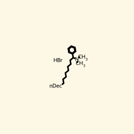 Br.CCCCCCCCCCCCCCCCCCC(c1ccccc1)N(C)C